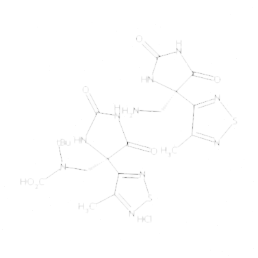 Cc1nsnc1[C@@]1(CN(C(=O)O)C(C)(C)C)NC(=O)NC1=O.Cc1nsnc1[C@@]1(CN)NC(=O)NC1=O.Cl